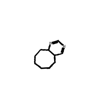 C1=NC=NC2CCCCCCC12